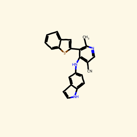 Cc1ncc(C#N)c(Nc2ccc3[nH]ccc3c2)c1-c1cc2ccccc2s1